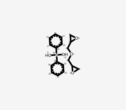 C(OCC1CO1)C1CO1.OS(O)(c1ccccc1)c1ccccc1